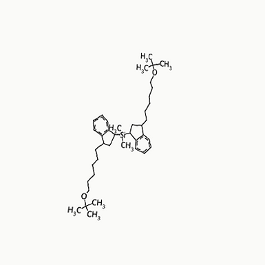 CC(C)(C)OCCCCCCC1CC([Si](C)(C)C2CC(CCCCCCOC(C)(C)C)c3ccccc32)c2ccccc21